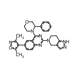 Cc1noc(C)c1-c1ccc2nc(N3CCc4[nH]ncc4C3)nc(N3CCOCC3c3ccccc3)c2c1